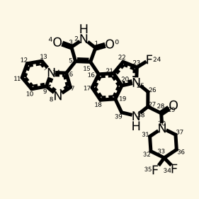 O=C1NC(=O)C(c2cnc3ccccn23)=C1c1ccc2c3c1cc(F)n3CC(C(=O)N1CCC(F)(F)CC1)NC2